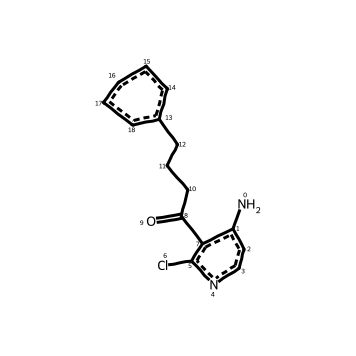 Nc1ccnc(Cl)c1C(=O)CCCc1ccccc1